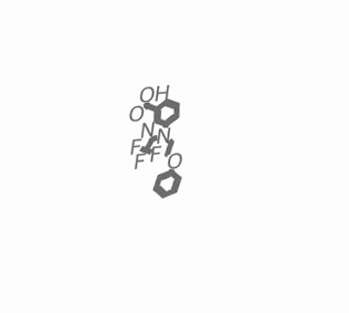 O=C(O)c1cccc2c1nc(C(F)(F)F)n2CCOc1ccccc1